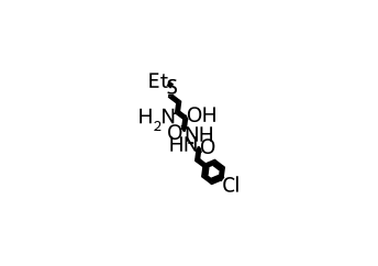 CCSCC[C@@H](N)C(O)C(=O)NNC(=O)Cc1ccc(Cl)cc1